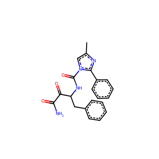 Cc1cn(C(=O)NC(Cc2ccccc2)C(=O)C(N)=O)c(-c2ccccc2)n1